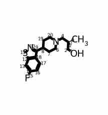 C[C@H](CO)CN1CCC(c2nsc3cc(F)ccc23)CC1